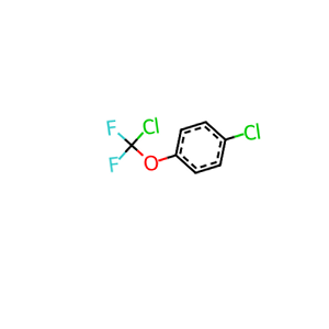 FC(F)(Cl)Oc1ccc(Cl)cc1